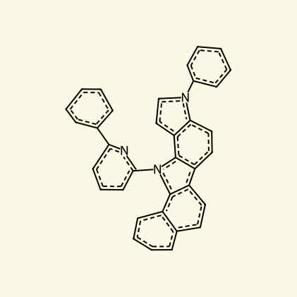 c1ccc(-c2cccc(-n3c4c5ccccc5ccc4c4ccc5c(ccn5-c5ccccc5)c43)n2)cc1